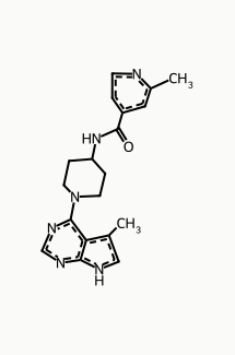 Cc1cc(C(=O)NC2CCN(c3ncnc4[nH]cc(C)c34)CC2)ccn1